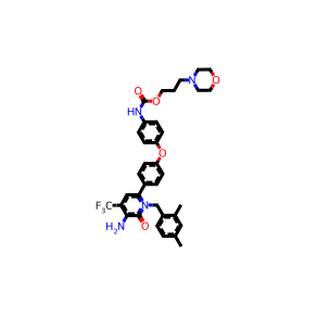 Cc1ccc(Cn2c(-c3ccc(Oc4ccc(NC(=O)OCCCN5CCOCC5)cc4)cc3)cc(C(F)(F)F)c(N)c2=O)c(C)c1